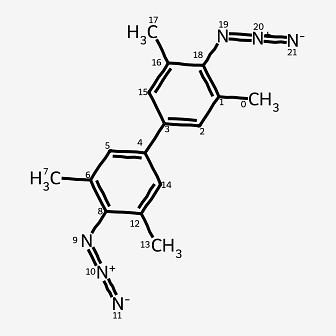 Cc1cc(-c2cc(C)c(N=[N+]=[N-])c(C)c2)cc(C)c1N=[N+]=[N-]